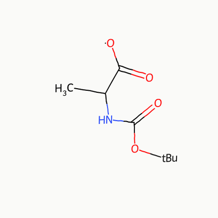 CC(NC(=O)OC(C)(C)C)C([O])=O